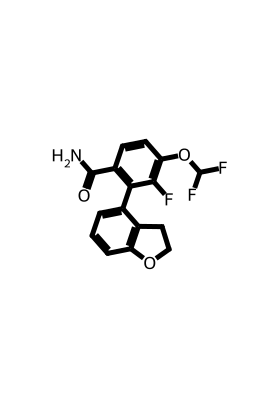 NC(=O)c1ccc(OC(F)F)c(F)c1-c1cccc2c1CCO2